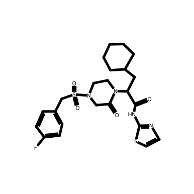 O=C(Nc1nccs1)C(CC1CCCCC1)N1CCN(S(=O)(=O)Cc2ccc(F)cc2)CC1=O